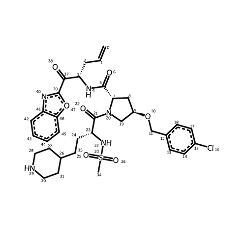 C=CC[C@H](NC(=O)[C@@H]1C[C@@H](OCc2ccc(Cl)cc2)CN1C(=O)[C@@H](CCC1CCNCC1)NS(C)(=O)=O)C(=O)c1nc2ccccc2o1